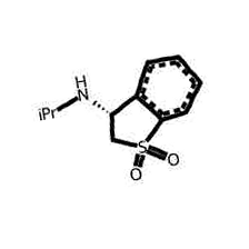 CC(C)N[C@H]1CS(=O)(=O)c2ccccc21